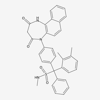 CNS(=O)(=O)C(c1ccccc1)(c1ccc(N2C(=O)CC(=O)Nc3c2ccc2ccccc32)cc1)c1cccc(C)c1C